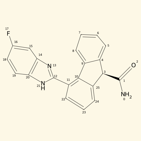 NC(=O)[C@@H]1c2ccccc2-c2c(-c3nc4cc(F)ccc4[nH]3)cccc21